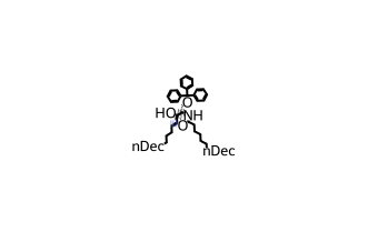 CCCCCCCCCCCCC/C=C/[C@@H](O)[C@H](COC(c1ccccc1)(c1ccccc1)c1ccccc1)NC(=O)CCCCCCCCCCCCCCC